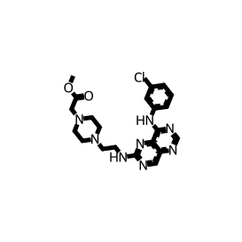 COC(=O)CN1CCN(CCNc2ncc3ncnc(Nc4cccc(Cl)c4)c3n2)CC1